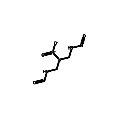 O=CNCN(CNN=O)[N+](=O)[O-]